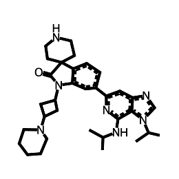 CC(C)Nc1nc(-c2ccc3c(c2)N(C2CC(N4CCCCC4)C2)C(=O)C32CCNCC2)cc2ncn(C(C)C)c12